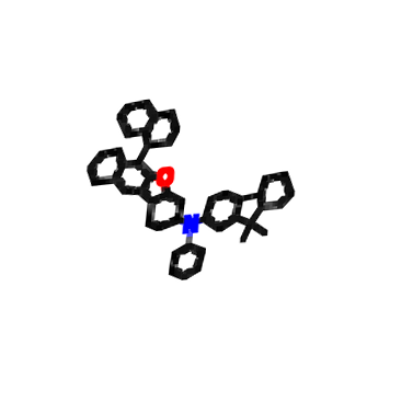 CC1(C)c2ccccc2-c2ccc(N(c3ccccc3)c3ccc4c(c3)oc3c(-c5cccc6ccccc56)c5ccccc5cc34)cc21